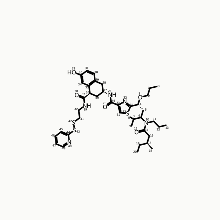 CCCO[C@H](CC(C(C)C)N(CCC)C(=O)C[C@@H](C)CC)c1nc(C(=O)N[C@H]2Cc3ccc(O)cc3[C@H](C(=O)NCCSSc3ccccn3)C2)cs1